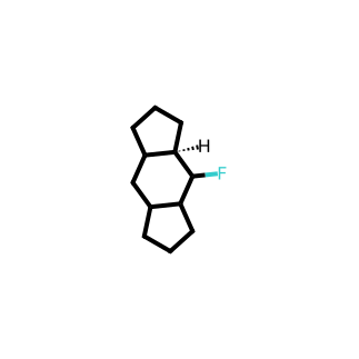 FC1C2CCCC2CC2CCC[C@H]21